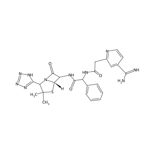 CC1(C)S[C@H]2C(NC(=O)C(NC(=O)Cc3cc(C(=N)N)ccn3)c3ccccc3)C(=O)N2C1c1nnn[nH]1